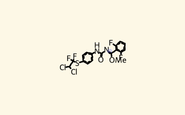 CO/C(=N\C(=O)Nc1ccc(SC(F)(F)C(Cl)Cl)cc1)c1c(F)cccc1F